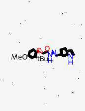 COc1ccc(OCC(=O)N/N=C/c2ccc3cc[nH]c3c2)c(C(C)(C)C)c1